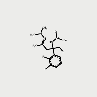 CN(C)N=C(CC(CF)(N[S+]([O-])C(C)(C)C)c1cccc(F)c1F)C(F)(F)F